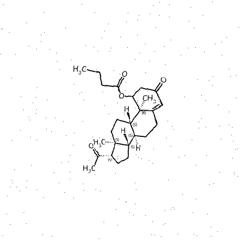 CCCC(=O)OC1CC(=O)C=C2CC[C@H]3[C@@H]4CC[C@H](C(C)=O)[C@@]4(C)CC[C@@H]3[C@]21C